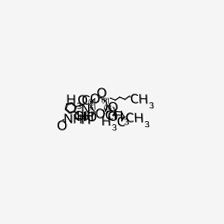 CCCCCC[C@H]1C(=O)O[C@H](C)[C@H](NC(=O)c2cccc(NC=O)c2O)C(O)O[C@@H](C)[C@@H]1OC(=O)CC(C)C